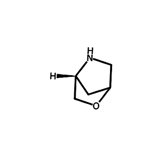 C1N[C@H]2COC1C2